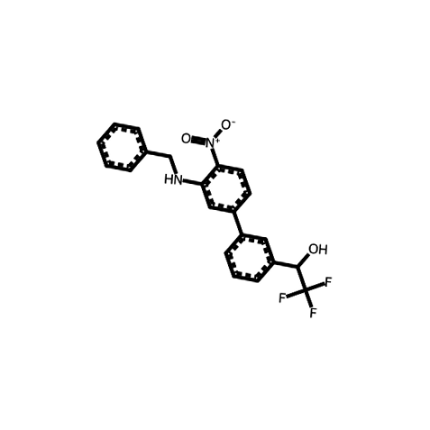 O=[N+]([O-])c1ccc(-c2cccc(C(O)C(F)(F)F)c2)cc1NCc1ccccc1